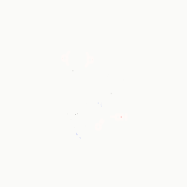 Cc1cccc(N(C(=O)O)C(c2ccc3c(c2)OCCO3)C2CN3CCC2CC3)c1